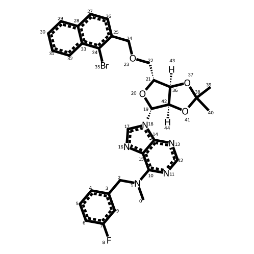 CN(Cc1cccc(F)c1)c1ncnc2c1ncn2[C@@H]1O[C@H](COCc2ccc3ccccc3c2Br)[C@H]2OC(C)(C)O[C@H]21